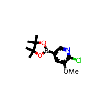 COc1cc(B2OC(C)(C)C(C)(C)O2)cnc1Cl